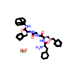 Cl.N[C@@H](CC1CCCCC1)C(=O)N[C@H](CSCc1ccccc1)C(=O)NCC(=O)N[C@@H](Cc1ccccc1)C(=O)NC1C2CC3CC(C2)CC1C3.O